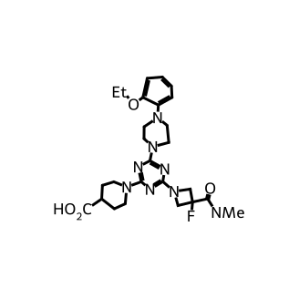 CCOc1ccccc1N1CCN(c2nc(N3CCC(C(=O)O)CC3)nc(N3CC(F)(C(=O)NC)C3)n2)CC1